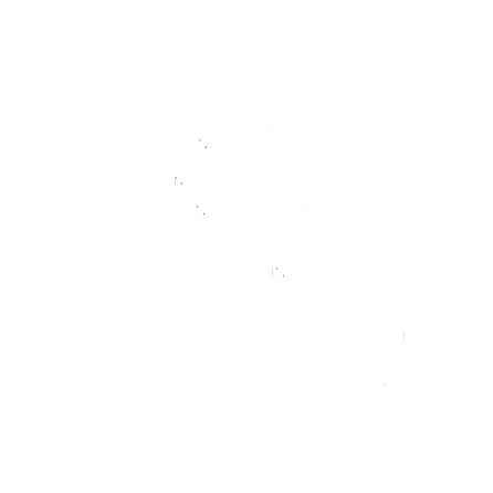 Cc1nn(CC2CC2)nc1C(=O)NC1CCC(F)(F)CC1